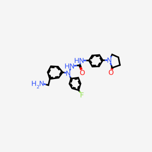 NCc1cccc(N(NC(=O)Nc2ccc(N3CCCC3=O)cc2)c2ccc(F)cc2)c1